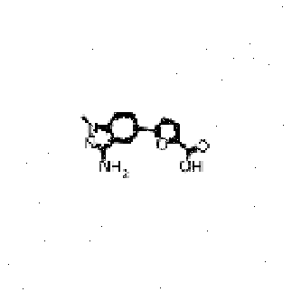 Cn1nc(N)c2cc(-c3ccc(C(=O)O)o3)ccc21